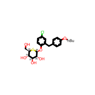 CCCCOc1ccc(Cc2cc(Cl)ccc2O[C@@H]2S[C@H](CO)[C@@H](O)[C@H](O)[C@H]2O)cc1